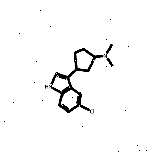 CN(C)C1CCC(c2c[nH]c3ccc(Cl)cc23)C1